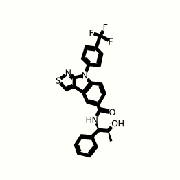 C[C@H](O)[C@H](NC(=O)c1ccc2c(c1)c1csnc1n2-c1ccc(C(F)(F)F)cc1)c1ccccc1